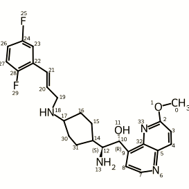 COc1ccc2nccc([C@@H](O)[C@@H](N)C3CCC(NCC=Cc4cc(F)ccc4F)CC3)c2n1